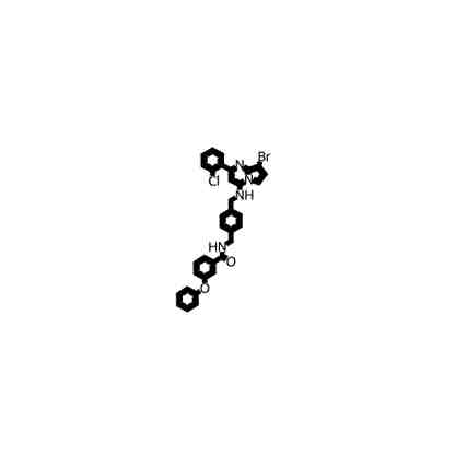 O=C(NCc1ccc(CNc2cc(-c3ccccc3Cl)nc3c(Br)ccn23)cc1)c1cccc(Oc2ccccc2)c1